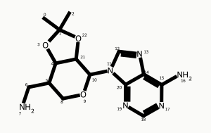 CC1(C)OC2C(CN)COC(n3cnc4c(N)ncnc43)C2O1